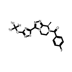 [2H]C([2H])([2H])Oc1nsc(-c2nnc3n2CCN(C(=O)c2ccc(F)cc2)[C@@H]3C)n1